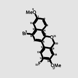 COc1ccc2c3c(cc(Br)c2c1)-c1cc(F)c(OC)cc1CO3